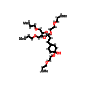 COCCOCCOC1(O)CCC(CC[Si](OCCOCCOC)(OCCOCCOC)OCCOCCOC)CC1